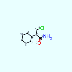 NC(=O)C(CCl)C1CCCCC1